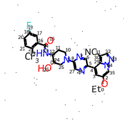 CCOc1cc(-c2cnc(N3CC[C@H](NC(=O)c4cc(F)ccc4C(F)(F)F)[C@@H](O)C3)cn2)c2c(C#N)cnn2c1